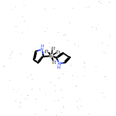 C[CH2][Ru]([CH2]C)([CH2]C)([CH2]C)([c]1ccc[nH]1)[c]1ccc[nH]1